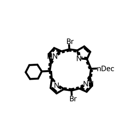 CCCCCCCCCCc1c2nc(c(Br)c3ccc([nH]3)c(C3CCCCC3)c3nc(c(Br)c4ccc1[nH]4)C=C3)C=C2